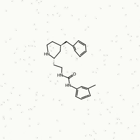 Cc1cccc(NC(=O)NCC[C@H]2C[C@H](Cc3ccccc3)CCN2)c1